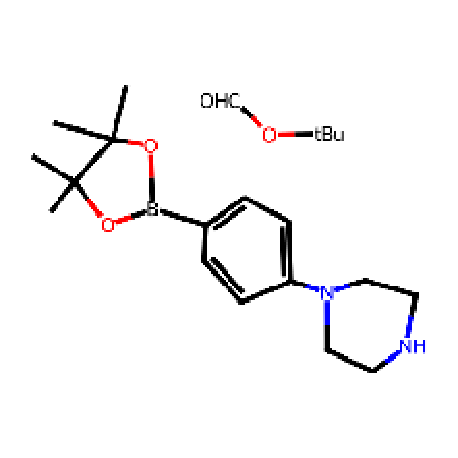 CC(C)(C)OC=O.CC1(C)OB(c2ccc(N3CCNCC3)cc2)OC1(C)C